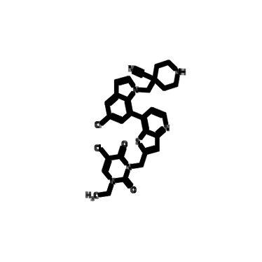 CCn1cc(Cl)c(=O)n(Cc2cc3nccc(-c4cc(Cl)cc5ccn(CC6(C#N)CCNCC6)c45)c3s2)c1=O